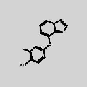 Cc1cc(Oc2cccn3ccnc23)ccc1N